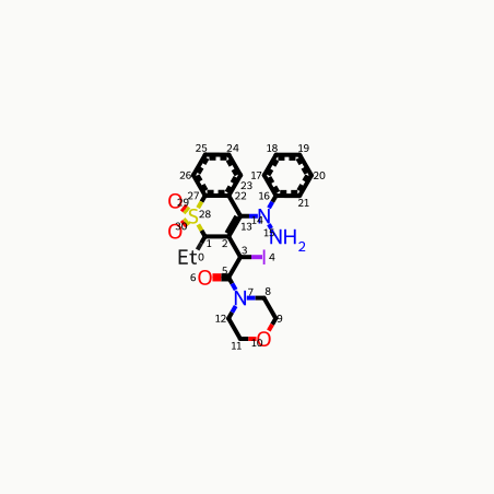 CCC1C(C(I)C(=O)N2CCOCC2)=C(N(N)c2ccccc2)c2ccccc2S1(=O)=O